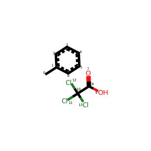 Cc1ccccc1.O=C(O)C(Cl)(Cl)Cl